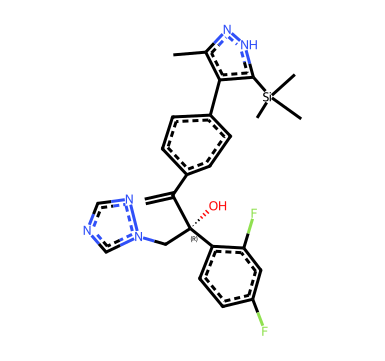 C=C(c1ccc(-c2c(C)n[nH]c2[Si](C)(C)C)cc1)[C@](O)(Cn1cncn1)c1ccc(F)cc1F